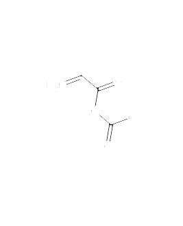 C=CC(=O)OC(=O)Cl